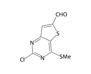 CSc1nc(Cl)nc2cc(C=O)sc12